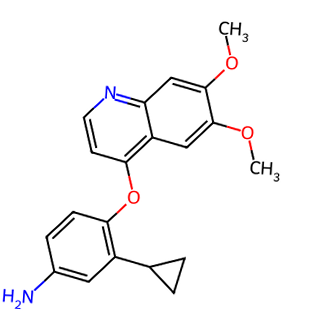 COc1cc2nccc(Oc3ccc(N)cc3C3CC3)c2cc1OC